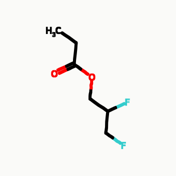 CCC(=O)OCC(F)CF